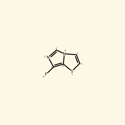 Fc1ncn2ccsc12